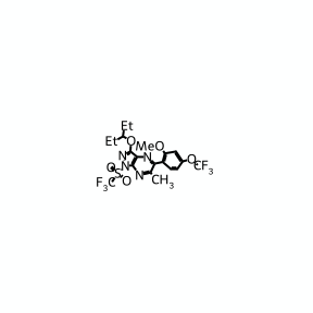 CCC(CC)Oc1nn(S(=O)(=O)C(F)(F)F)c2nc(C)c(-c3ccc(OC(F)(F)F)cc3OC)nc12